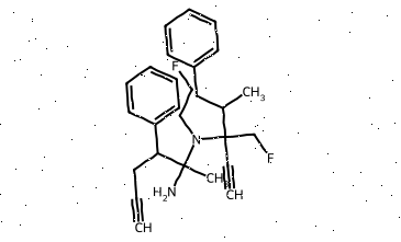 C#CCC(c1ccccc1)C(C)(N)N(CCF)C(C#C)(CF)C(C)Cc1ccccc1